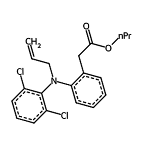 C=CCN(c1ccccc1CC(=O)OCCC)c1c(Cl)cccc1Cl